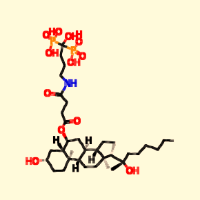 CCCCCC[C@](C)(O)[C@H]1CC[C@H]2[C@@H]3C[C@H](OC(=O)CCC(=O)NCCCC(O)(P(=O)(O)O)P(=O)(O)O)[C@H]4C[C@@H](O)CC[C@]4(C)[C@H]3CC[C@@]21C